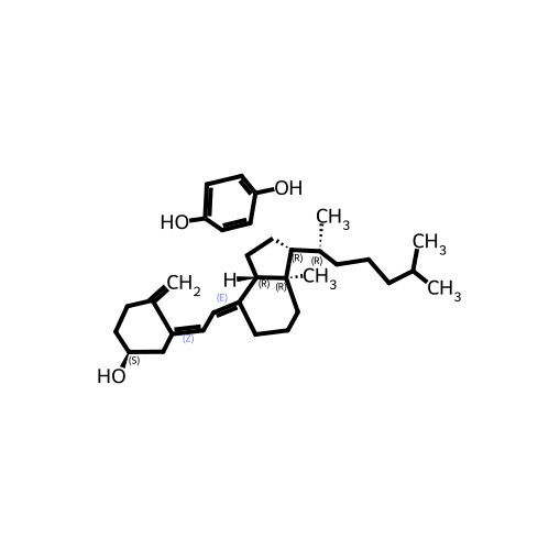 C=C1CC[C@H](O)C/C1=C/C=C1\CCC[C@]2(C)[C@@H]([C@H](C)CCCC(C)C)CC[C@@H]12.Oc1ccc(O)cc1